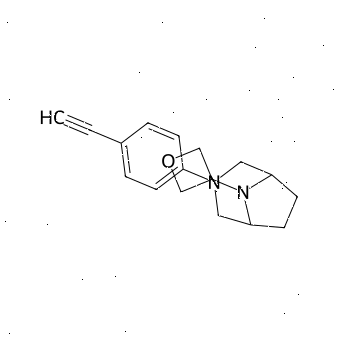 C#Cc1ccc(N2CC3CCC(C2)N3C2COC2)cc1